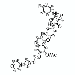 COc1cc2c(Oc3ccc(NC(=O)C4(C(=O)Nc5ccc(F)cc5)CC4)cc3F)ccnc2cc1OCCN1CC(N2CCOCC2)C1